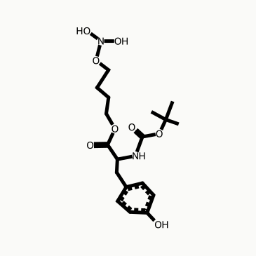 CC(C)(C)OC(=O)NC(Cc1ccc(O)cc1)C(=O)OCCCCON(O)O